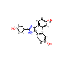 Oc1ccc(-c2nc(-c3ccc(O)cc3)c(-c3ccc(O)cc3)[nH]2)cc1